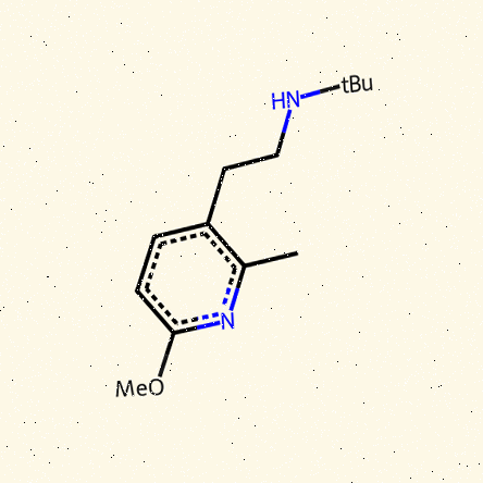 COc1ccc(CCNC(C)(C)C)c(C)n1